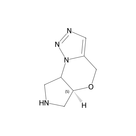 c1nnn2c1CO[C@H]1CNCC12